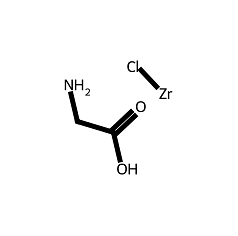 NCC(=O)O.[Cl][Zr]